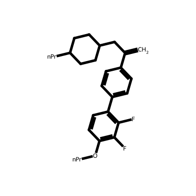 C=C(CC1CCC(CCC)CC1)c1ccc(-c2ccc(OCCC)c(F)c2F)cc1